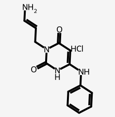 Cl.NC=CCn1c(=O)cc(Nc2ccccc2)[nH]c1=O